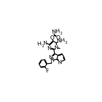 CN1C(c2nn(Cc3ccccc3F)c3ncccc23)=NC(N)=C(OC(N)=O)C1N